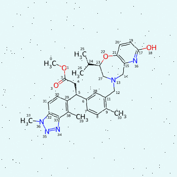 COC(=O)C[C@@H](c1ccc(C)c(CN2Cc3nc(O)ccc3O[C@H](C(C)C)C2)c1)c1ccc2c(nnn2C)c1C